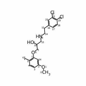 COc1ccc(I)c(OCC(O)CNCCc2ccc(Cl)c(Cl)c2)c1